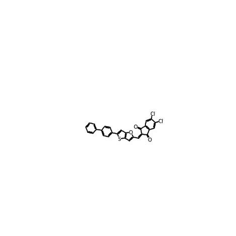 O=C1C(=Cc2cc3sc(-c4ccc(-c5ccccc5)cc4)cc3o2)C(=O)c2cc(Cl)c(Cl)cc21